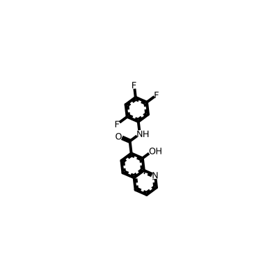 O=C(Nc1cc(F)c(F)cc1F)c1ccc2cccnc2c1O